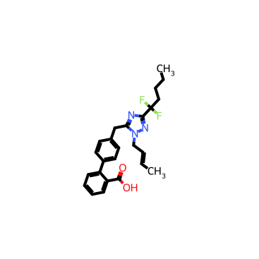 CC=CCn1nc(C(F)(F)CCCC)nc1Cc1ccc(-c2ccccc2C(=O)O)cc1